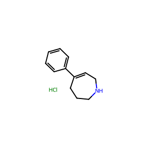 C1=C(c2ccccc2)CCCNC1.Cl